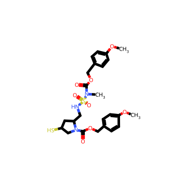 COc1ccc(COC(=O)N2CC(S)CC2CNS(=O)(=O)N(C)C(=O)OCc2ccc(OC)cc2)cc1